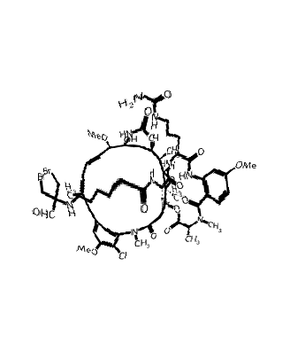 COc1ccc(C(=O)N(C)[C@@H](C)C(=O)O[C@H]2CC(=O)N(C)c3cc(cc(OC)c3Cl)C/C(C)=C/C=C/[C@@H](OC)[C@@]3(O)C[C@H](OC(=O)N3)[C@@H](C)[C@@H]3O[C@@]23C)c(NC(=O)[C@H](CCCNC(N)=O)NC(=O)[C@@H](NC(=O)CCCCCNC(C=O)(CBr)CBr)C(C)C)c1